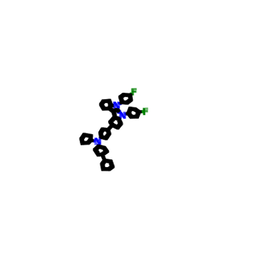 Fc1ccc(-n2c3ccccc3c3c4cc(-c5ccc(N(c6ccccc6)c6ccc(-c7ccccc7)cc6)cc5)ccc4n(-c4ccc(F)cc4)c32)cc1